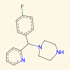 Fc1ccc(C(c2ccccn2)N2CCNCC2)cc1